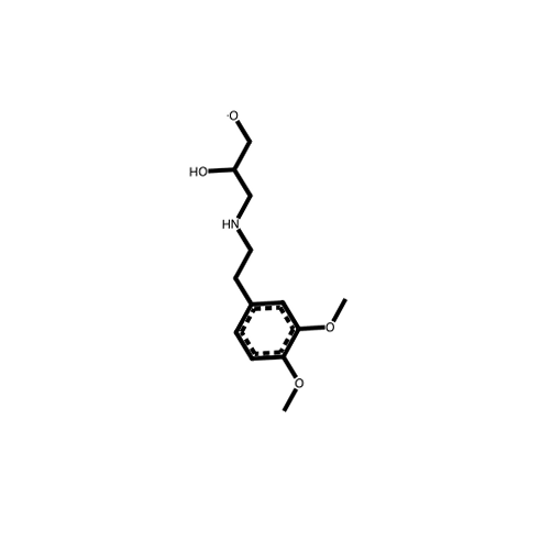 COc1ccc(CCNCC(O)C[O])cc1OC